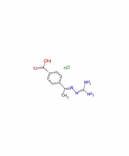 CC(=NN=C(N)N)c1ccc(C(=O)O)cc1.Cl